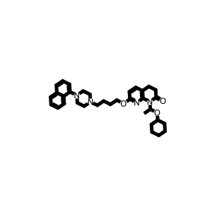 CC(OC1CCCCC1)N1C(=O)CCc2ccc(OCCCCN3CCN(c4cccc5ccccc45)CC3)nc21